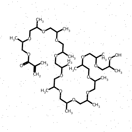 C=C(C)C(=O)OCC(C)OCC(C)OCC(C)OCC(C)OCC(C)OCC(C)OCC(C)OCC(C)OCC(C)OCC(C)OCC(C)OCC(C)OO